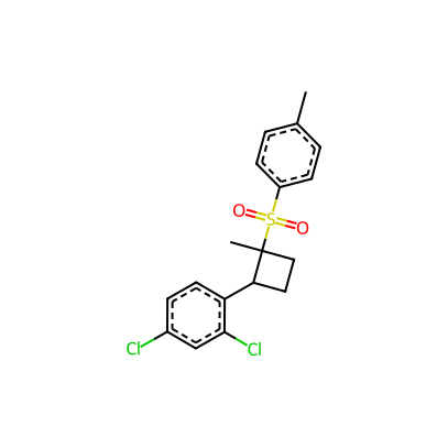 Cc1ccc(S(=O)(=O)C2(C)CCC2c2ccc(Cl)cc2Cl)cc1